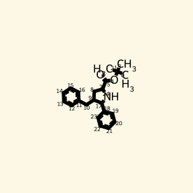 CC(C)(C)OC(=O)C1CC(Cc2ccccc2)C(c2ccccc2)N1